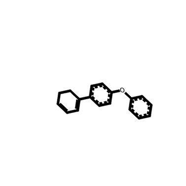 C1=CCCC(c2ccc(Oc3ccccc3)cc2)=C1